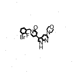 O=c1cc(-c2c[nH]c3ncc(N4CCOCC4)cc23)ccn1Cc1cccc(Br)c1F